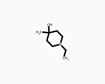 C[CH]N1CCC(C)(O)CC1